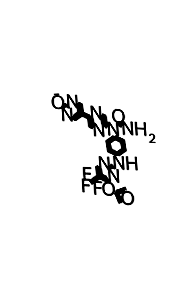 COc1ncc(-c2cnc(N(C(N)=O)C3CCC(Nc4ncc(C(F)(F)F)c(OC5COC5)n4)CC3)cn2)cn1